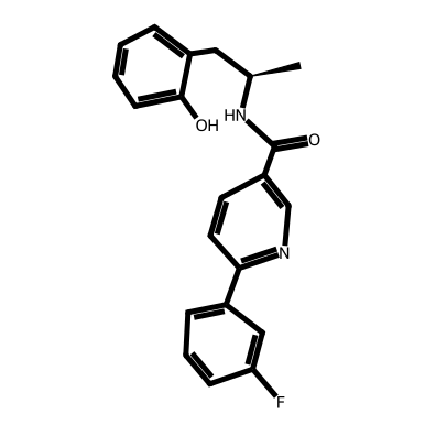 C[C@H](Cc1ccccc1O)NC(=O)c1ccc(-c2cccc(F)c2)nc1